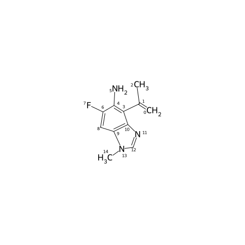 C=C(C)c1c(N)c(F)cc2c1ncn2C